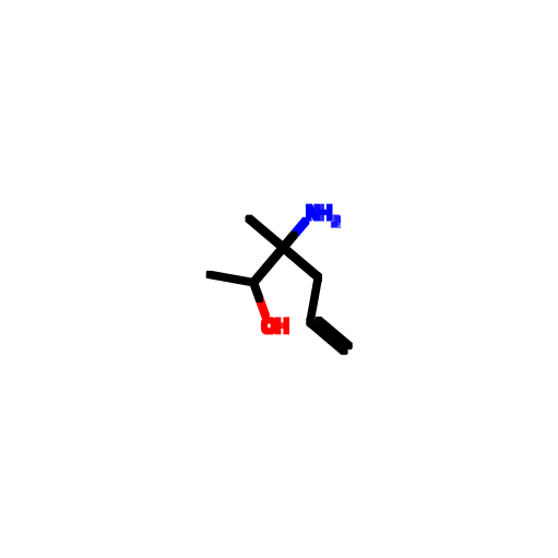 C=CCC(C)(N)C(C)O